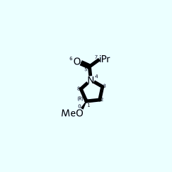 CO[C@@H]1CCN(C(=O)C(C)C)C1